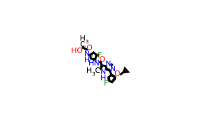 Cc1[nH]c2c(-c3cc(F)ccc3OCC3CC3)ncnc2c1C(=O)N[C@@H]1C[C@@H](NC(=O)[C@H](C)O)C[C@H]1F